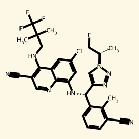 Cc1c(C#N)cccc1[C@H](Nc1cc(Cl)cc2c(NCC(C)(C)C(F)(F)F)c(C#N)cnc12)c1cn([C@@H](C)CF)nn1